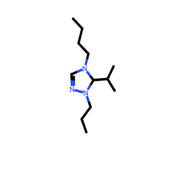 CCCCN1C=NN(CCC)C1C(C)C